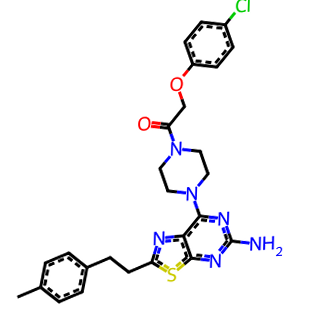 Cc1ccc(CCc2nc3c(N4CCN(C(=O)COc5ccc(Cl)cc5)CC4)nc(N)nc3s2)cc1